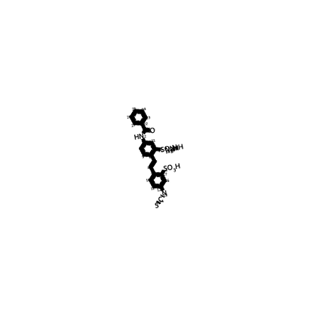 O=C(Nc1ccc(/C=C/c2ccc(N=C=S)cc2S(=O)(=O)O)c(S(=O)(=O)O)c1)c1ccccc1.[NaH].[NaH]